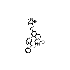 O=c1nc(OC(C2=CC=CCC2)C2=COC=CO2)cc2n1CCc1cc(OCc3nnn[nH]3)ccc1-2